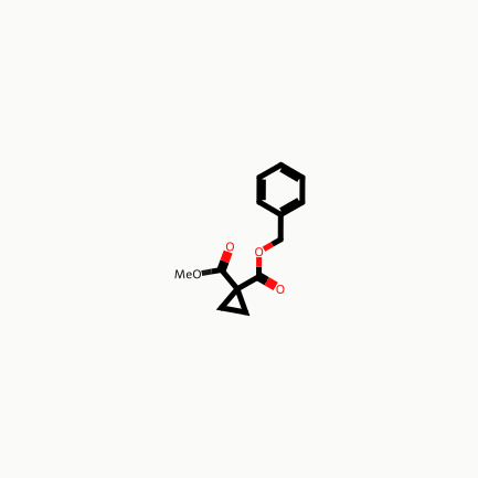 COC(=O)C1(C(=O)OCc2ccccc2)CC1